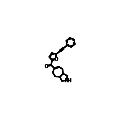 O=C(C1=CCC2CNCC2CC1)c1ccc(C#Cc2ccccc2)o1